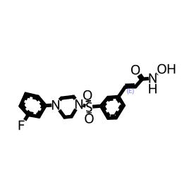 O=C(/C=C/c1cccc(S(=O)(=O)N2CCN(c3cccc(F)c3)CC2)c1)NO